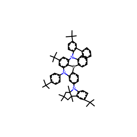 CC1(C)CC2(C)c3cc(C(C)(C)C)ccc3N(c3ccc4c(c3)N(c3ccc(C(C)(C)C)cc3)c3cc(C(C)(C)C)cc5c3B4c3ccccc3N5c3ccc(C(C)(C)C)cc3-c3ccccc3)C2(C)C1